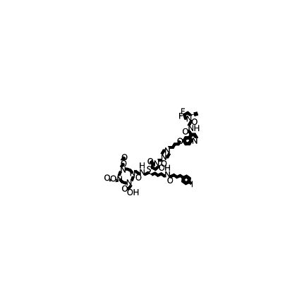 C#C[C@H]1CC(F)(F)CN1C(=O)CNC(=O)c1ccnc2ccc(OCCCCN3CCN(C(=O)CN4C(=O)CC(S[C@H](CCCCCNC(=O)CCCc5ccc(I)cc5)CNC(=O)CN5CCN(COC=O)CCN(COC=O)CCN(CC(=O)O)CC5)C4=O)CC3)cc12